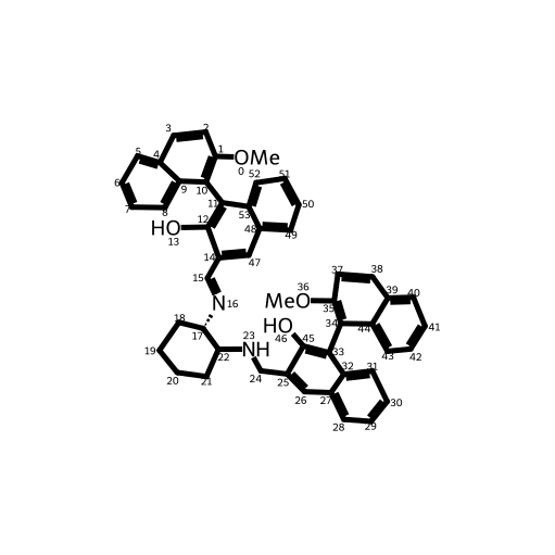 COc1ccc2ccccc2c1-c1c(O)c(/C=N/[C@H]2CCCCC2NCc2cc3ccccc3c(-c3c(OC)ccc4ccccc34)c2O)cc2ccccc12